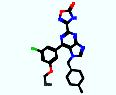 COCOc1cc(Cl)cc(-c2nc(-c3noc(=O)[nH]3)nc3ncn(C[C@H]4CC[C@H](C)CC4)c23)c1